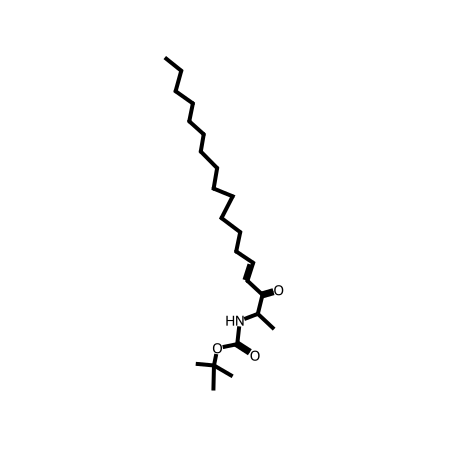 CCCCCCCCCCCCCC=CC(=O)C(C)NC(=O)OC(C)(C)C